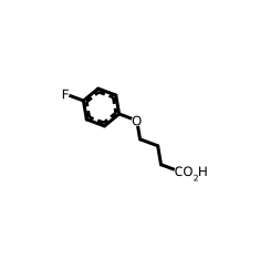 O=C(O)CCCOc1ccc(F)cc1